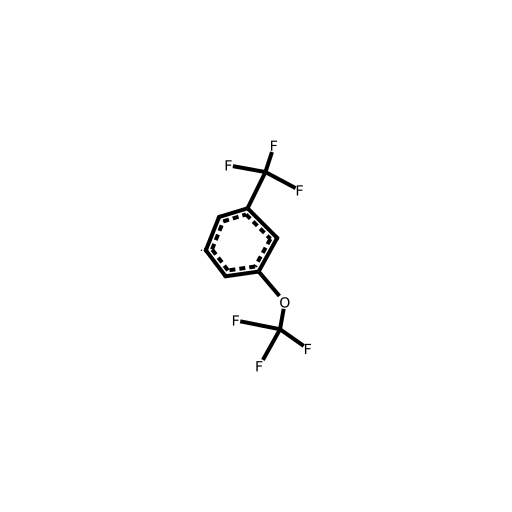 FC(F)(F)Oc1c[c]cc(C(F)(F)F)c1